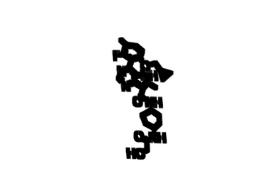 Cc1ccc(OCC2CC2)c(-c2ncnc3c(C(=O)N[C@H]4CC[C@H](NC(=O)CO)CC4)c(C)[nH]c23)c1F